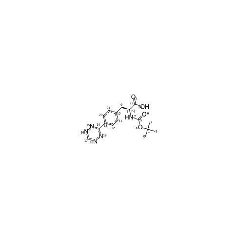 CC(C)(C)OC(=O)N[C@@H](Cc1ccc(-c2nncnn2)cc1)C(=O)O